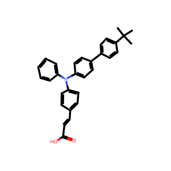 CC(C)(C)c1ccc(-c2ccc(N(c3ccccc3)c3ccc(/C=C/C(=O)O)cc3)cc2)cc1